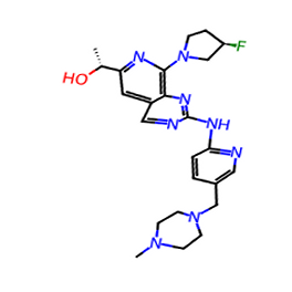 C[C@@H](O)c1cc2cnc(Nc3ccc(CN4CCN(C)CC4)cn3)nc2c(N2CC[C@@H](F)C2)n1